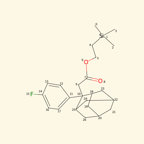 C[Si](C)(C)CCOC(=O)CC1(c2ccc(F)cc2)C2CC3CC(C2)CC1C3